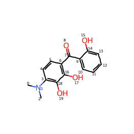 CN(C)c1ccc(C(=O)c2ccccc2O)c(O)c1O